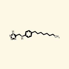 CCCCCCCCc1ccc(NCc2nnn[nH]2)cc1